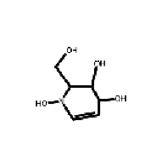 OCC1C(O)C(O)C=CN1O